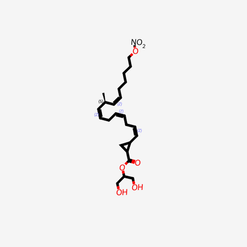 C[C@H](/C=C\C/C=C\C/C=C\C1CC1C(=O)OC(CO)CO)/C=C\CCCCCO[N+](=O)[O-]